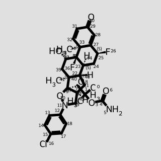 CC(C)(OC(N)=O)C(=O)[C@@]12ON(c3ccc(Cl)cc3)C[C@@H]1C[C@H]1[C@@H]3C[C@H](F)C4=CC(=O)C=C[C@]4(C)[C@@]3(F)[C@@H](O)C[C@@]12C